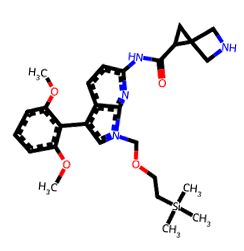 COc1cccc(OC)c1-c1cn(COCC[Si](C)(C)C)c2nc(NC(=O)C3CC34CNC4)ccc12